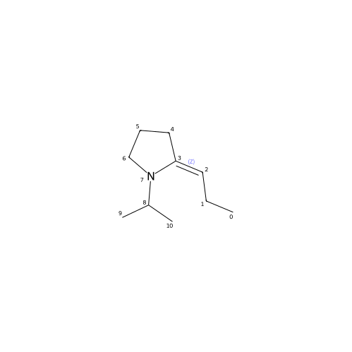 CC/C=C1/CCCN1C(C)C